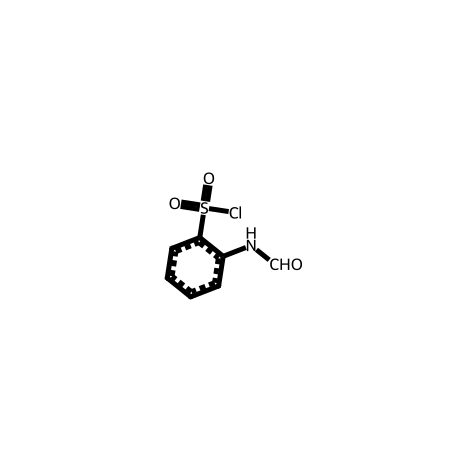 O=CNc1ccccc1S(=O)(=O)Cl